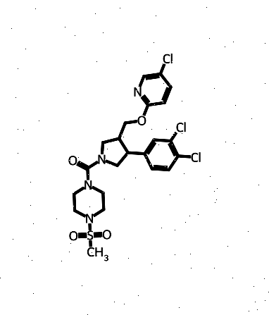 CS(=O)(=O)N1CCN(C(=O)N2CC(COc3ccc(Cl)cn3)C(c3ccc(Cl)c(Cl)c3)C2)CC1